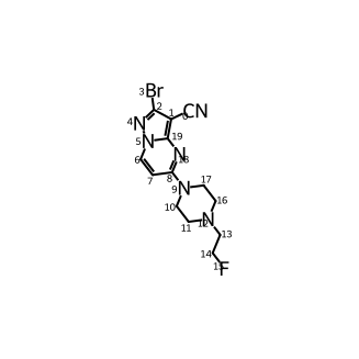 N#Cc1c(Br)nn2ccc(N3CCN(CCF)CC3)nc12